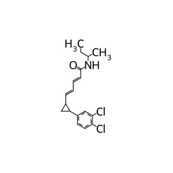 CCC(C)NC(=O)C=CC=CC1CC1c1ccc(Cl)c(Cl)c1